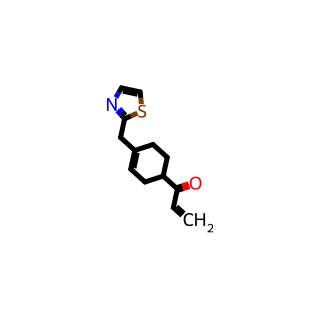 C=CC(=O)C1CC=C(Cc2nccs2)CC1